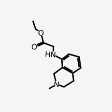 CCOC(=O)CNc1cccc2c1CN(C)CC2